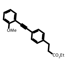 CCOC(=O)CCc1ccc(C#Cc2ccccc2OC)cc1